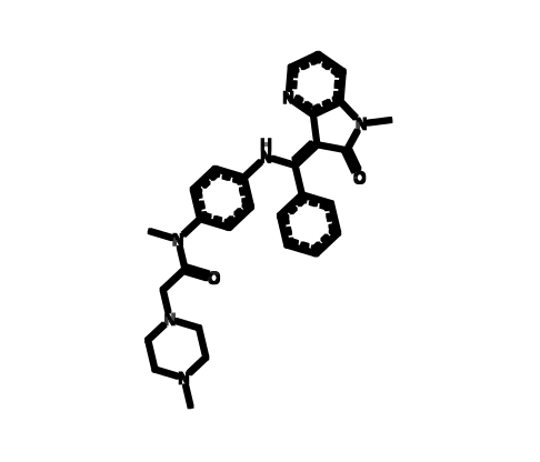 CN1CCN(CC(=O)N(C)c2ccc(NC(=C3C(=O)N(C)c4cccnc43)c3ccccc3)cc2)CC1